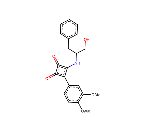 COc1ccc(-c2c(NC(CO)Cc3ccccc3)c(=O)c2=O)cc1OC